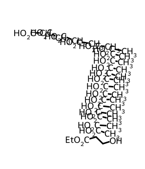 CC(=O)O.CC(=O)O.CC(=O)O.CC(=O)O.CC(=O)O.CC(=O)O.CC(=O)O.CC(=O)O.CC(=O)O.CC(=O)O.CC(=O)O.CC(=O)O.CC(=O)O.CC(=O)O.CC(=O)O.CC(=O)O.CC(=O)O.CC(=O)O.CC(=O)O.CCOC(=O)CCO